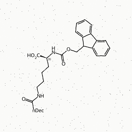 CCCCCCCCCCC(=O)NCCCC[C@H](NC(=O)OCC1c2ccccc2-c2ccccc21)C(=O)O